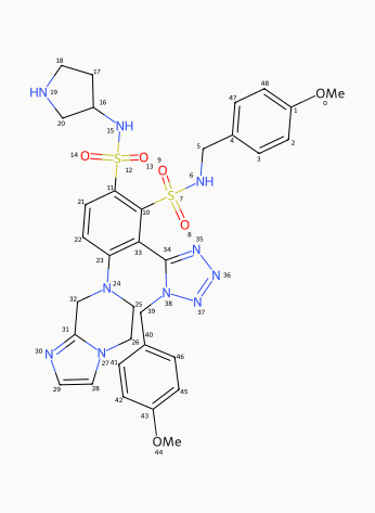 COc1ccc(CNS(=O)(=O)c2c(S(=O)(=O)NC3CCNC3)ccc(N3CCn4ccnc4C3)c2-c2nnnn2Cc2ccc(OC)cc2)cc1